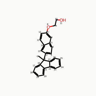 CC1(c2ccc3cc(OCCO)ccc3c2)c2ccccc2-c2ccccc21